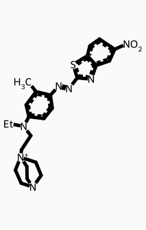 CCN(CC[N+]12CCN(CC1)CC2)c1ccc(N=Nc2nc3cc([N+](=O)[O-])ccc3s2)c(C)c1